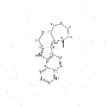 c1cnc2ccc3c(c2c1)N=C1CCC2CCCCNC2=C13